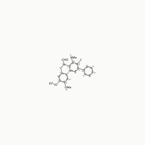 CCOc1cc(CN(C=O)c2ncc(-c3ccccc3)c(C)c2NC)ccc1OC